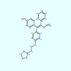 CC/C(=C(/c1ccc(O)cc1)c1ccc(CCCN2CCCC2)nc1)c1ccccc1